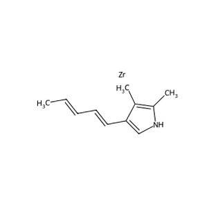 CC=CC=Cc1c[nH]c(C)c1C.[Zr]